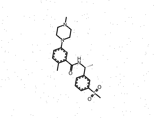 Cc1ccc(N2CCN(C)CC2)cc1C(=O)N[C@H](C)c1cccc(S(C)(=O)=O)c1